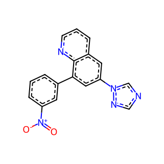 O=[N+]([O-])c1cccc(-c2cc(-n3cncn3)cc3cccnc23)c1